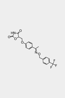 C/C(=N\OCc1ccc(C(F)(F)F)cc1)c1ccc(OCC2OC(=O)NC2=O)cc1